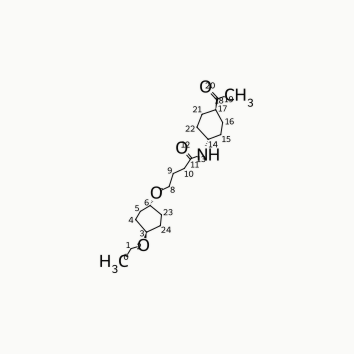 CCO[C@H]1CC[C@H](OCCCC(=O)N[C@H]2CC[C@H](C(C)=O)CC2)CC1